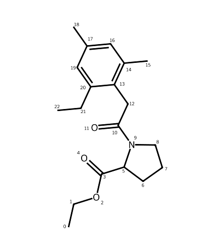 CCOC(=O)C1CCCN1C(=O)Cc1c(C)cc(C)cc1CC